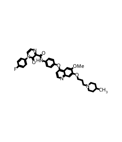 COc1cc2c(Oc3ccc(NC(=O)c4nccn(-c5ccc(F)cc5)c4=O)cc3)ccnc2cc1OCCCN1CCC(C)CC1